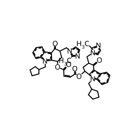 Cc1nccn1CC1CC(OC(=O)/C=C\C(=O)OC2CC(Cn3ccnc3C)C(=O)c3c2n(CC2CCCC2)c2ccccc32)c2c(c3ccccc3n2CC2CCCC2)C1=O